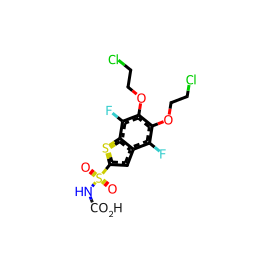 O=C(O)NS(=O)(=O)c1cc2c(F)c(OCCCl)c(OCCCl)c(F)c2s1